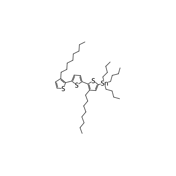 CCCCCCCCc1ccsc1-c1ccc(-c2s[c]([Sn]([CH2]CCC)([CH2]CCC)[CH2]CCC)cc2CCCCCCCC)s1